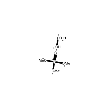 COP(=O)(OC)OC.O=C(O)O